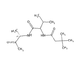 CC(=O)[C@H](C)NC(=O)C(NC(=O)CC(C)(C)C)C(C)C